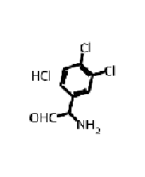 Cl.NC(C=O)c1ccc(Cl)c(Cl)c1